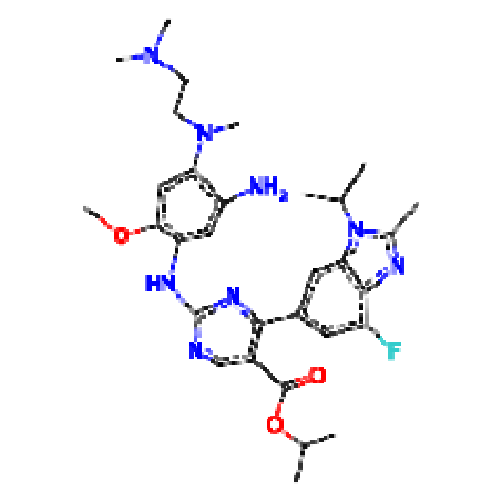 COc1cc(N(C)CCN(C)C)c(N)cc1Nc1ncc(C(=O)OC(C)C)c(-c2cc(F)c3nc(C)n(C(C)C)c3c2)n1